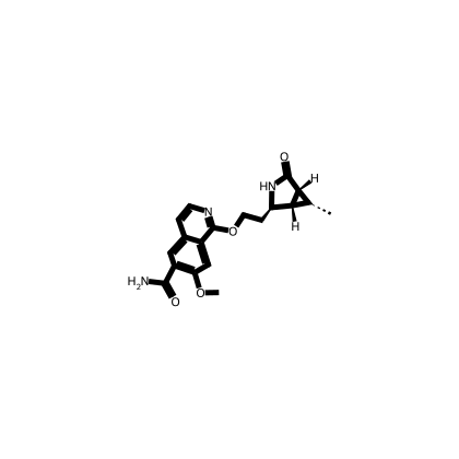 COc1cc2c(OCC[C@H]3NC(=O)[C@@H]4[C@H](C)[C@@H]43)nccc2cc1C(N)=O